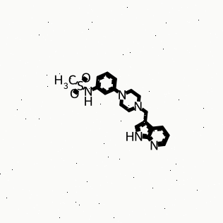 CS(=O)(=O)Nc1cccc(N2CCN(Cc3c[nH]c4ncccc34)CC2)c1